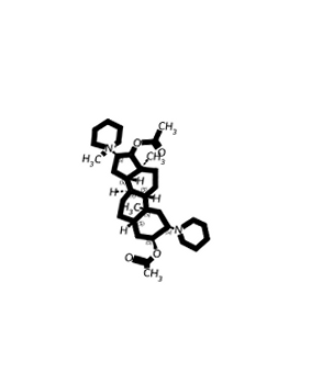 CC(=O)OC1[C@@H]([N+]2(C)CCCCC2)C[C@H]2[C@@H]3CC[C@H]4C[C@H](OC(C)=O)[C@@H](N5CCCCC5)C[C@]4(C)[C@H]3CC[C@]12C